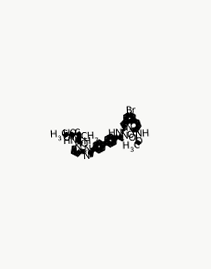 COC(=O)N[C@H]1CCc2cc(Br)cc3c2N(C1=O)[C@H](c1ncc(-c2ccc(-c4ccc(-c5cnc(C6CCCN6C(=O)[C@H](NC(=O)OC)C(C)C)[nH]5)cc4)cc2)[nH]1)C3